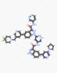 O=C(Nc1cnnc(-n2nc(C(=O)Nc3ccnnc3)c3cc(-c4cncc(CN5CCC(F)(F)CC5)c4)ccc32)c1)c1n[nH]c2ccc(-c3cncc(N4CCCC4)c3)cc12